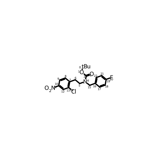 CC(C)(C)OC(=O)N(CCc1ccc([N+](=O)[O-])cc1Cl)Cc1ccc(F)cc1